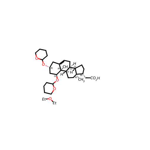 CCOCC.C[C@]12CC[C@H]3[C@@H](CC=C4C[C@@H](OC5CCCCO5)C[C@H](OC5CCCCO5)[C@@]43C)[C@@H]1CC[C@@H]2CC(=O)O